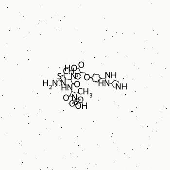 Cc1sc(N)nc1/C(=N/OC(COc1ccc(C(=N)N[C@H]2CCNC2)cc1)C(=O)O)C(=O)N[C@@H]1C(=O)N(S(=O)(=O)O)[C@H]1C